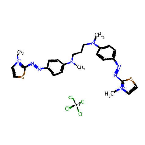 CN(CCCN(C)c1ccc(N=Nc2scc[n+]2C)cc1)c1ccc(N=Nc2scc[n+]2C)cc1.[Cl][Zn-2]([Cl])([Cl])[Cl]